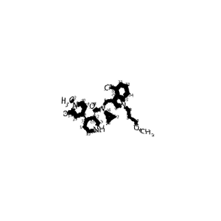 COCCCn1cc(CN(C(=O)[C@@H]2CNCC[C@H]2c2ccn(C)c(=O)c2)C2CC2)c2c(Cl)cccc21